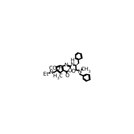 CCN(Cc1ccc2nc(N[C@@H](Cc3ccccc3)C(=O)N(C)Cc3ccccc3)oc(=O)c2c1C)C(=O)O